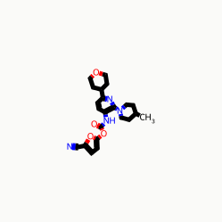 CC1CCN(c2nc(C3CCOCC3)ccc2NC(=O)Oc2ccc(C#N)o2)CC1